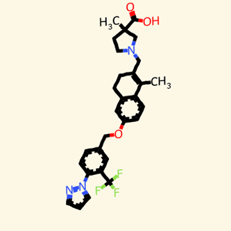 CC1=C(CN2CCC(C)(C(=O)O)C2)CCc2cc(OCc3ccc(-n4cccn4)c(C(F)(F)F)c3)ccc21